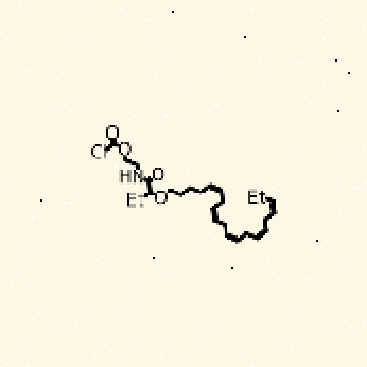 CC/C=C\C/C=C\C/C=C\C/C=C\C/C=C\CCCCOC(CC)C(=O)NCCOC(=O)Cl